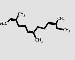 [CH2]C=C(C)CCC=C(C)CCC=C(C)CC